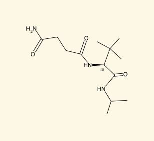 CC(C)NC(=O)[C@@H](NC(=O)CCC(N)=O)C(C)(C)C